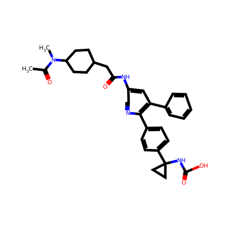 CC(=O)N(C)C1CCC(CC(=O)Nc2cnc(-c3ccc(C4(NC(=O)O)CC4)cc3)c(-c3ccccc3)c2)CC1